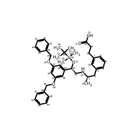 C[C@H](Cc1cccc(CCC(=O)O)c1)NC[C@H](O[Si](C)(C)C(C)(C)C)c1cc(OCc2ccccc2)cc(OCc2ccccc2)c1